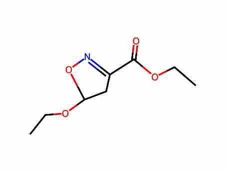 CCOC(=O)C1=NOC(OCC)C1